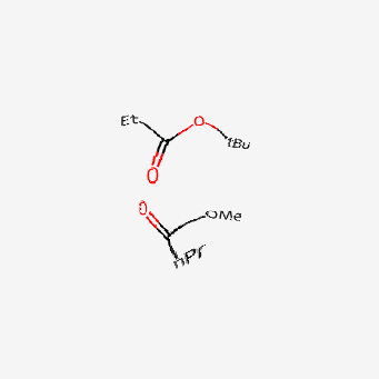 CCC(=O)OC(C)(C)C.CCCC(=O)OC